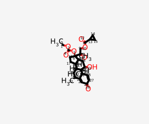 CCOC(=O)O[C@]1(C(=O)COC(=O)C2CC2)CC[C@H]2[C@@H]3C[C@H](C)C4=CC(=O)C=C[C@]4(C)[C@H]3C(O)C[C@@]21C